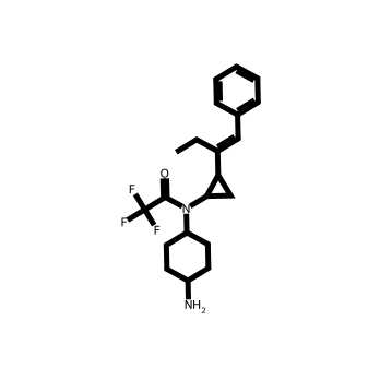 CC/C(=C\c1ccccc1)C1CC1N(C(=O)C(F)(F)F)C1CCC(N)CC1